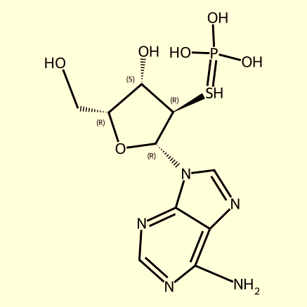 Nc1ncnc2c1ncn2[C@@H]1O[C@H](CO)[C@H](O)[C@H]1[SH]=P(O)(O)O